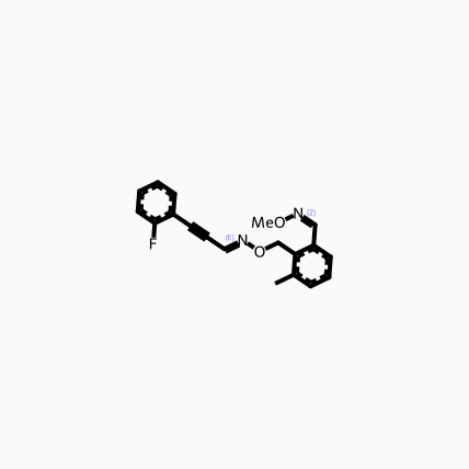 CO/N=C\c1cccc(C)c1CO/N=C/C#Cc1ccccc1F